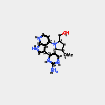 COC1CC(CO)N(c2ccnc3[nH]cc(-c4ccnc(N)n4)c23)C1